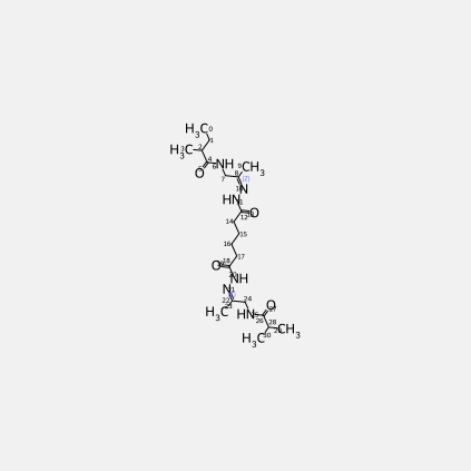 CCC(C)C(=O)NC/C(C)=N\NC(=O)CCCCC(=O)N/N=C(/C)CNC(=O)C(C)C